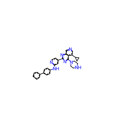 c1ccc(-c2ccc(Nc3cc(-c4nc(N5CCNCC5)c5c(C6CC6)cncc5n4)ccn3)cc2)cc1